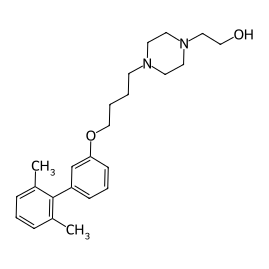 Cc1cccc(C)c1-c1cccc(OCCCCN2CCN(CCO)CC2)c1